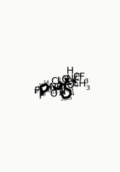 C[C@@H](NS(=O)(=O)c1c(Cl)c(C(=O)Nc2ccc(F)c(F)c2)n2c1CCCCC2)C(F)(F)F